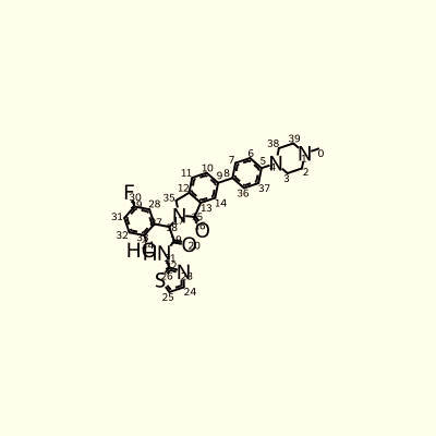 CN1CCN(c2ccc(-c3ccc4c(c3)C(=O)N(C(C(=O)Nc3nccs3)c3cc(F)ccc3O)C4)cc2)CC1